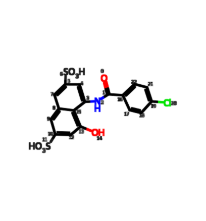 O=C(Nc1cc(S(=O)(=O)O)cc2cc(S(=O)(=O)O)cc(O)c12)c1ccc(Cl)cc1